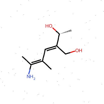 C/C(N)=C(C)\C=C(/CO)[C@@H](C)O